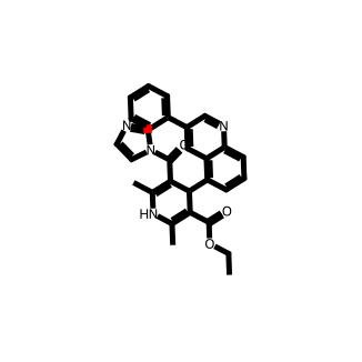 CCOC(=O)C1=C(C)NC(C)=C(C(=O)n2ccnc2)C1c1cccc2ncc(-c3ccccc3)cc12